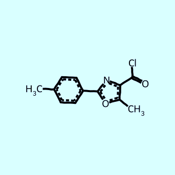 Cc1ccc(-c2nc(C(=O)Cl)c(C)o2)cc1